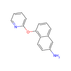 Nc1ccc2c(Oc3ccccn3)cccc2c1